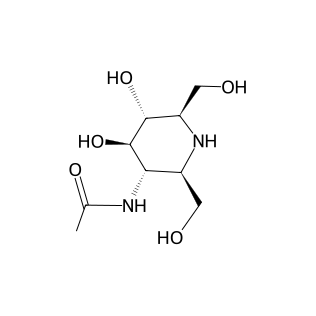 CC(=O)N[C@@H]1[C@@H](O)[C@H](O)[C@@H](CO)N[C@H]1CO